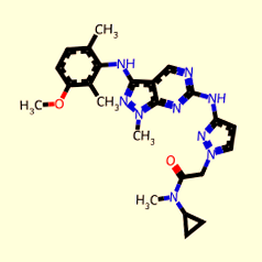 COc1ccc(C)c(Nc2nn(C)c3nc(Nc4ccn(CC(=O)N(C)C5CC5)n4)ncc23)c1C